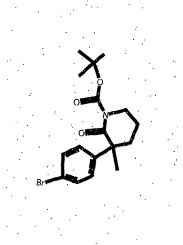 CC(C)(C)OC(=O)N1CCCC(C)(c2ccc(Br)cc2)C1=O